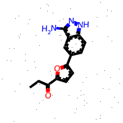 CCC(=O)c1ccc(-c2ccc3[nH]nc(N)c3c2)o1